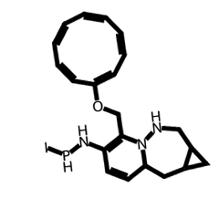 IPNC1=C(COc2ccccccccc2)N2NCC3CC3CC2C=C1